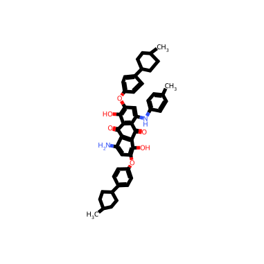 Cc1ccc(Nc2cc(Oc3ccc(C4CCC(C)CC4)cc3)c(O)c3c2C(=O)c2c(O)c(Oc4ccc(C5CCC(C)CC5)cc4)cc(N)c2C3=O)cc1